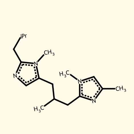 Cc1cn(C)c(CC(C)Cc2cnc(CC(C)C)n2C)n1